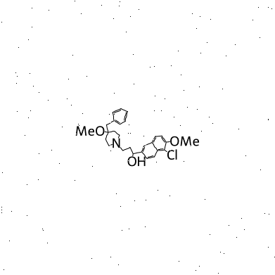 COc1ccc2cc(C(O)CCN3CCC(Cc4ccccc4)(OC)CC3)ccc2c1Cl